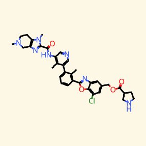 Cc1c(NC(=O)c2nc3c(n2C)CCN(C)C3)cncc1-c1cccc(-c2nc3cc(COC(=O)C4CCNC4)cc(Cl)c3o2)c1C